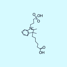 CC1=[N+](CCCS(=O)(=O)O)c2ccccc2C1(C)CCCCCC(=O)O